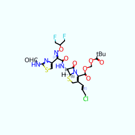 CC(C)(C)C(=O)OCOC(=O)C1=C(/C=C/CCl)CS[C@H]2[C@H](NC(=O)/C(=N\OC(CF)CF)c3csc(NC=O)n3)C(=O)N12